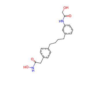 O=C(Cc1ccc(CCCCc2cccc(NC(=O)CO)c2)cc1)NO